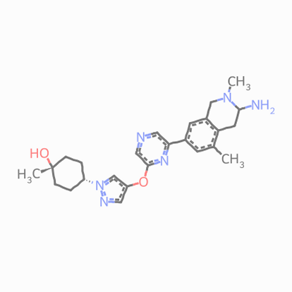 Cc1cc(-c2cncc(Oc3cnn([C@H]4CC[C@@](C)(O)CC4)c3)n2)cc2c1CC(N)N(C)C2